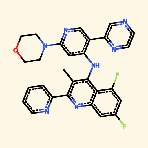 Cc1c(-c2ccccn2)nc2cc(F)cc(F)c2c1Nc1cc(N2CCOCC2)ncc1-c1cnccn1